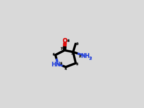 CC1(N)CCNCC1=O